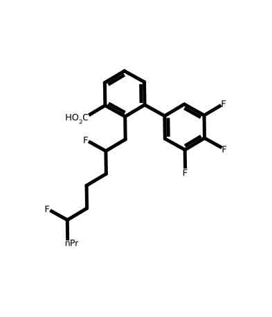 CCCC(F)CCCC(F)Cc1c(C(=O)O)cccc1-c1cc(F)c(F)c(F)c1